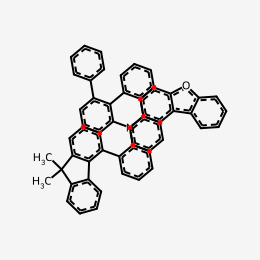 CC1(C)c2ccccc2-c2c(-c3ccccc3N(c3ccc4oc5ccccc5c4c3)c3cccc(-c4ccccc4)c3-c3ccccc3-c3ccccc3)cccc21